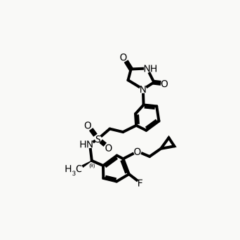 C[C@@H](NS(=O)(=O)CCc1cccc(N2CC(=O)NC2=O)c1)c1ccc(F)c(OCC2CC2)c1